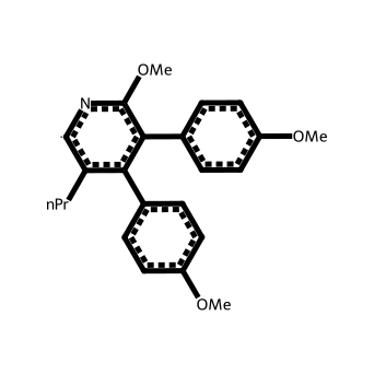 CCCc1[c]nc(OC)c(-c2ccc(OC)cc2)c1-c1ccc(OC)cc1